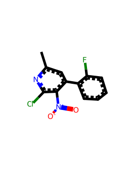 Cc1cc(-c2ccccc2F)c([N+](=O)[O-])c(Cl)n1